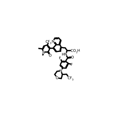 Cc1cc(C(F)(F)F)c(-c2ccc(CC(NC(=O)c3c(F)cc(N4CCOCC4CC(F)(F)F)cc3F)C(=O)O)c3cccnc23)c(=O)n1C